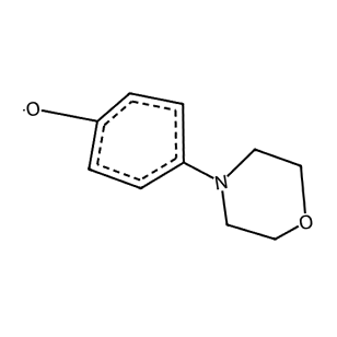 [O]c1ccc(N2CCOCC2)cc1